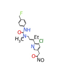 CC/C(=C\CN(C)C(=O)Nc1ccc(CF)cc1)c1ncc(CC(=O)N=O)cc1Cl